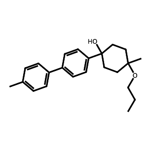 CCCOC1(C)CCC(O)(c2ccc(-c3ccc(C)cc3)cc2)CC1